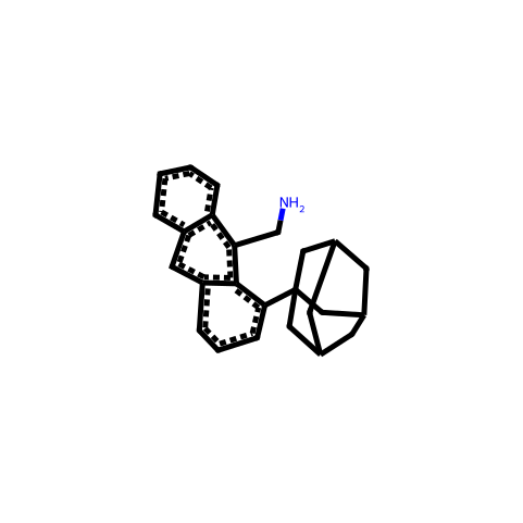 NCc1c2ccccc2cc2cccc(C34CC5CC(CC(C5)C3)C4)c12